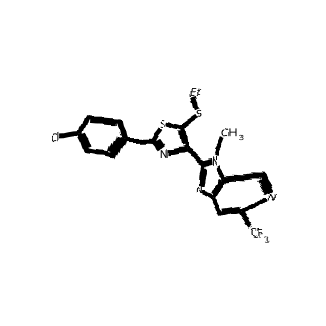 CCSc1sc(-c2ccc(Cl)cc2)nc1-c1nc2cc(C(F)(F)F)ncc2n1C